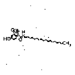 CCCCCCCCCCCCCCCCCCNC(=O)Nc1ccc(O)cc1[N+](=O)[O-]